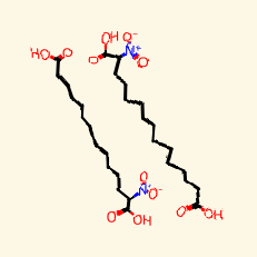 O=C(O)CCCCCCCCCCCC(C(=O)O)[N+](=O)[O-].O=C(O)CCCCCCCCCCCCC(C(=O)O)[N+](=O)[O-]